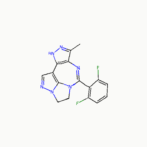 Cc1n[nH]c2c1N=C(c1c(F)cccc1F)N1CCn3ncc-2c31